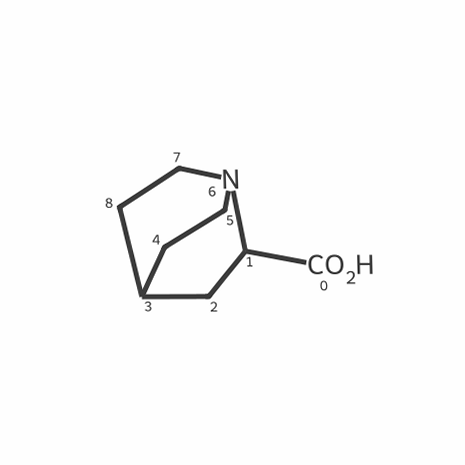 O=C(O)C1CC2CCN1CC2